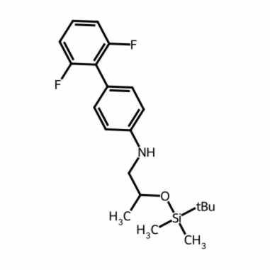 CC(CNc1ccc(-c2c(F)cccc2F)cc1)O[Si](C)(C)C(C)(C)C